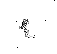 Cc1nnn(C[C@@H](O)COc2ccc(C=O)cc2)n1